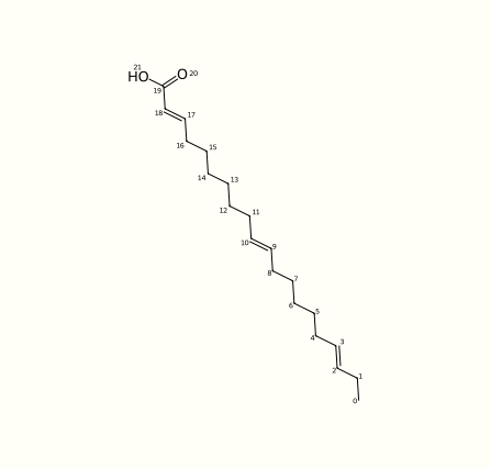 CC/C=C/CCCCC/C=C/CCCCCC/C=C/C(=O)O